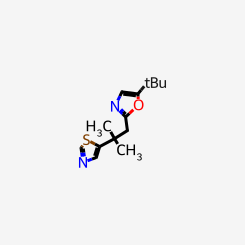 CC(C)(C)c1cnc(CC(C)(C)c2cncs2)o1